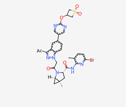 CC(=O)c1nn(CC(=O)N2[C@H](C(=O)Nc3nc(Br)ccc3C)C[C@@]3(C)C[C@@H]23)c2ccc(-c3cnc(OC4CS(=O)(=O)C4)nc3)cc12